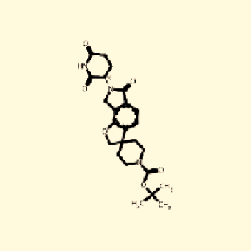 CC(C)(C)OC(=O)N1CCC2(CC1)COc1c2ccc2c1CN([C@H]1CCC(=O)NC1=O)C2=O